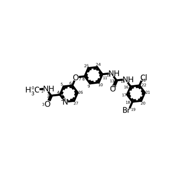 CNC(=O)c1cc(Oc2ccc(NC(=O)Nc3cc(Br)ccc3Cl)cc2)ccn1